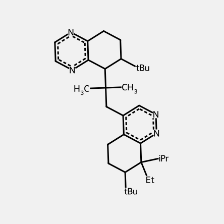 CCC1(C(C)C)c2nncc(CC(C)(C)C3c4nccnc4CCC3C(C)(C)C)c2CCC1C(C)(C)C